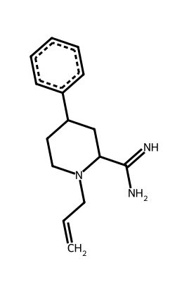 C=CCN1CCC(c2ccccc2)CC1C(=N)N